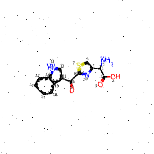 NC(C(=O)O)c1csc(C(=O)c2c[nH]c3ccccc23)n1